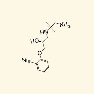 CC(C)(CN)NC[C@H](O)COc1ccccc1C#N